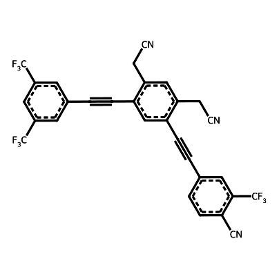 N#CCc1cc(CC#N)c(C#Cc2ccc(C#N)c(C(F)(F)F)c2)cc1C#Cc1cc(C(F)(F)F)cc(C(F)(F)F)c1